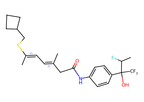 C/C(=C\C=C(/C)SCC1CCC1)CC(=O)Nc1ccc(C(O)(C(C)F)C(F)(F)F)cc1